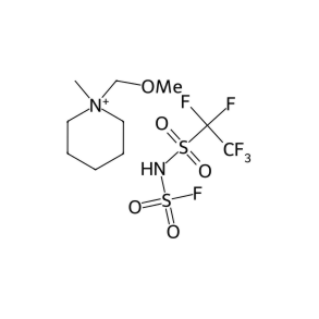 COC[N+]1(C)CCCCC1.O=S(=O)(F)NS(=O)(=O)C(F)(F)C(F)(F)F